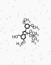 COc1cc(OC)cc(-c2cc3c(CO)cc(OC)cc3n2C(=O)OC(C)(C)C)c1